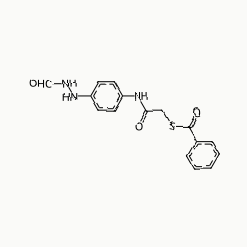 O=CNNc1ccc(NC(=O)CSC(=O)c2ccccc2)cc1